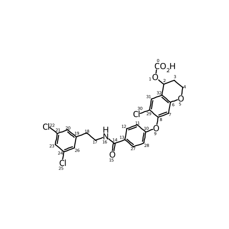 O=C(O)OC1CCOc2cc(Oc3ccc(C(=O)NCCc4cc(Cl)cc(Cl)c4)cc3)c(Cl)cc21